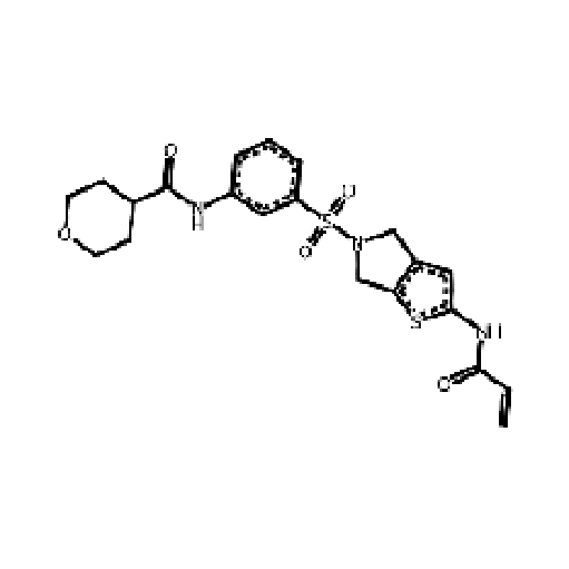 C=CC(=O)Nc1cc2c(s1)CN(S(=O)(=O)c1cccc(NC(=O)C3CCOCC3)c1)C2